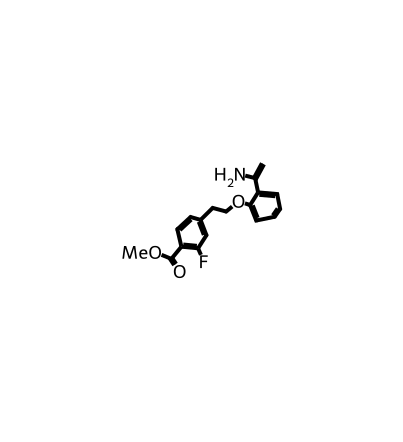 C=C(N)c1ccccc1OCCc1ccc(C(=O)OC)c(F)c1